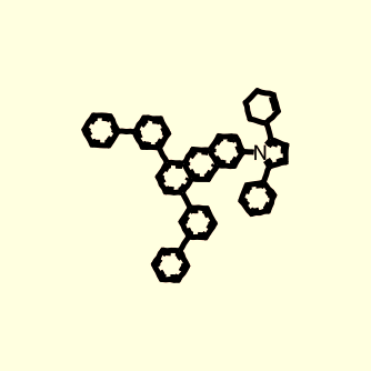 C1=CC(c2ccc(-c3ccccc3)n2-c2ccc3cc4c(-c5cccc(-c6ccccc6)c5)ccc(-c5cccc(-c6ccccc6)c5)c4cc3c2)CCC1